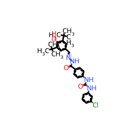 CC(C)(C)c1cc(/C=N/NC(=O)c2ccc(NC(=O)Nc3cccc(Cl)c3)cc2)cc(C(C)(C)C)c1O